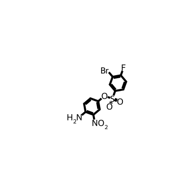 Nc1ccc(OS(=O)(=O)c2ccc(F)c(Br)c2)cc1[N+](=O)[O-]